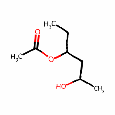 CCC(CC(C)O)OC(C)=O